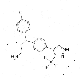 NCCC(c1ccc(Cl)cc1)c1ccc(-c2c[nH]nc2C(F)(F)F)cc1